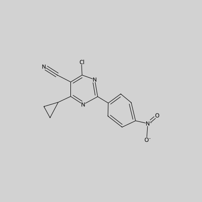 N#Cc1c(Cl)nc(-c2ccc([N+](=O)[O-])cc2)nc1C1CC1